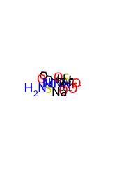 CC1(C)S[C@@H]2[C@H](NC(=O)C(CC3CCCOC3)c3csc(N)n3)C(=O)N2[C@H]1C(=O)[O-].[Na+]